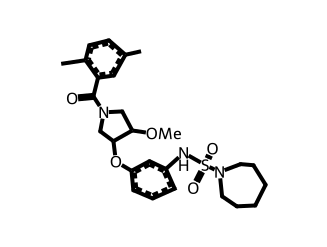 COC1CN(C(=O)c2cc(C)ccc2C)CC1Oc1cccc(NS(=O)(=O)N2CCCCCC2)c1